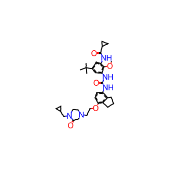 COc1c(NC(=O)Nc2ccc(OCCN3CCN(CC4CC4)C(=O)C3)c3c2CCC3)cc(C(C)(C)C)cc1NC(=O)C1CC1